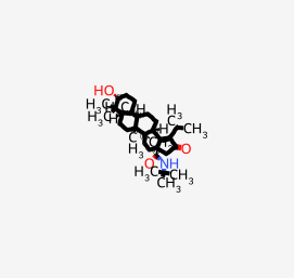 CC(C)C1=C2[C@H]3CC[C@@H]4[C@@]5(C)CC[C@H](O)C(C)(C)[C@@H]5CC[C@@]4(C)[C@]3(C)CC[C@@]2(C(=O)NC(C)(C)C)CC1=O